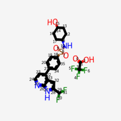 O=C(O)C(F)(F)F.O=S(=O)(NC1CCC(O)CC1)c1ccc(-c2ccnc3[nH]c(C(F)F)cc23)cc1